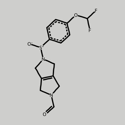 O=CN1CC2=C(C1)CN([S+]([O-])c1ccc(OC(F)F)cc1)C2